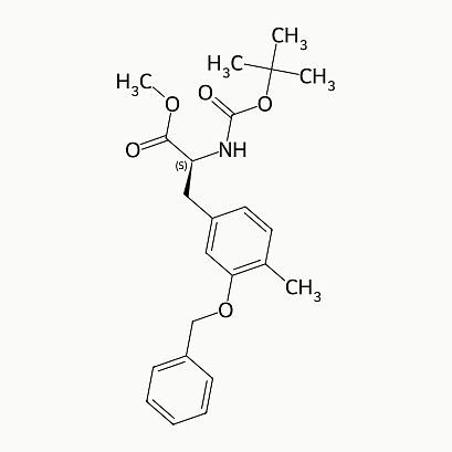 COC(=O)[C@H](Cc1ccc(C)c(OCc2ccccc2)c1)NC(=O)OC(C)(C)C